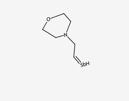 [SbH]=[CH]CN1CCOCC1